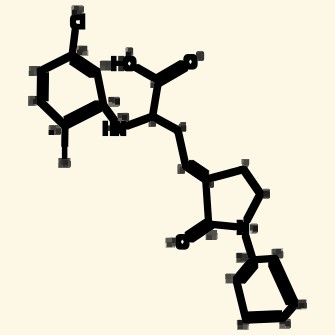 O=C(O)C(C/C=C1\CCN(c2ccccc2)C1=O)Nc1cc(Cl)ccc1I